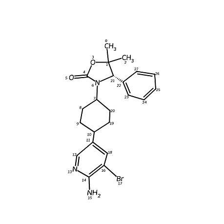 CC1(C)OC(=O)N(C2CCC(c3cnc(N)c(Br)c3)CC2)[C@H]1c1ccccc1